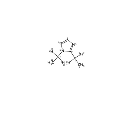 [2H]C([2H])(C)c1ncnn1C([2H])([2H])C